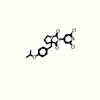 CC(C)Oc1ccc(CC23CCCN2C(=O)N(c2cc(Cl)nc(Cl)c2)C3=O)cc1